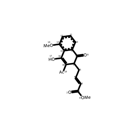 COC(=O)C=CCC1C(=O)c2cccc(OC)c2C(O)=C1C(C)=O